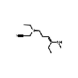 CC/C(=C\CCN(CC)CC#N)NC